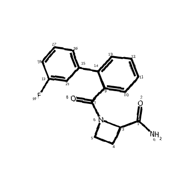 NC(=O)C1CCN1C(=O)c1ccccc1-c1cccc(F)c1